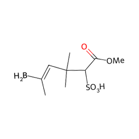 B/C(C)=C/C(C)(C)C(C(=O)OC)S(=O)(=O)O